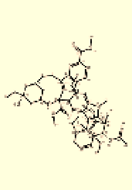 CC[C@]1(O)C[C@H]2CN(CCc3c([nH]c4ccc(C(=O)OC)cc34)[C@@](C(=O)OC)(C3C=C4C(=CC3OC)N(C)[C@@]35O[C@]3(C(=O)OC)[C@H](OC(C)=O)[C@]3(CC)C=CCN6CC[C@]45[C@@H]63)C2)C1